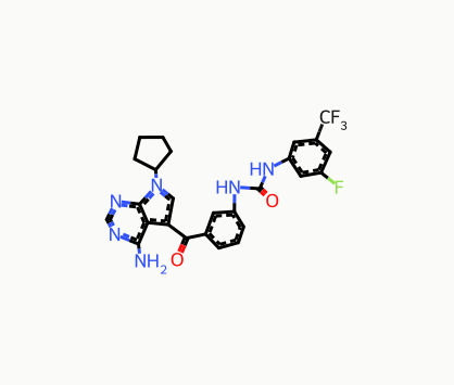 Nc1ncnc2c1c(C(=O)c1cccc(NC(=O)Nc3cc(F)cc(C(F)(F)F)c3)c1)cn2C1CCCC1